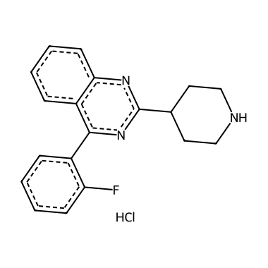 Cl.Fc1ccccc1-c1nc(C2CCNCC2)nc2ccccc12